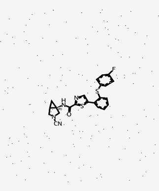 N#CN1CC2C[C@]2(NC(=O)c2ncc(-c3ccccc3Sc3ccc(F)cc3)s2)C1